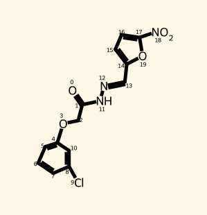 O=C(COc1cccc(Cl)c1)N/N=C/c1ccc([N+](=O)[O-])o1